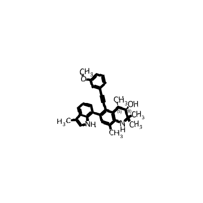 COc1cccc(C#Cc2c(-c3cccc4c(C)c[nH]c34)cc(C)c3c2[C@H](C)[C@@H](O)C(C)(C)N3)c1